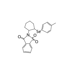 Cc1ccc([Se]C2CCCCC2N2C(=O)c3ccccc3S2(=O)=O)cc1